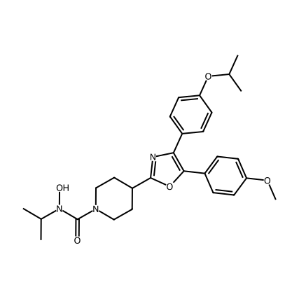 COc1ccc(-c2oc(C3CCN(C(=O)N(O)C(C)C)CC3)nc2-c2ccc(OC(C)C)cc2)cc1